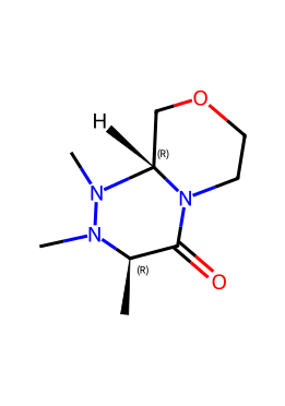 C[C@@H]1C(=O)N2CCOC[C@H]2N(C)N1C